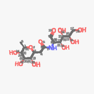 C[C@H]1OC(CC(=O)N[C@@H](C=O)[C@@H](O)[C@H](O)[C@H](O)CO)[C@H](O)[C@@H](O)[C@H]1O